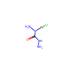 NNC(=O)[N](N)[Pt][Cl]